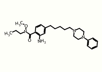 CCCN(OC)C(=O)c1ccc(CCCCCN2CCN(c3ccccc3)CC2)cc1N